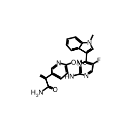 C=C(C(N)=O)c1cnc(OC)c(Nc2ncc(F)c(-c3cn(C)c4ccccc34)n2)c1